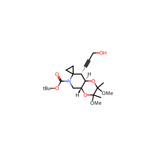 COC1(C)O[C@@H]2[C@@H](C#CCO)C3(CC3)N(C(=O)OC(C)(C)C)C[C@H]2OC1(C)OC